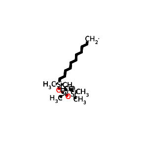 [CH2]CCCCCCCCCC[Si](C)(C)O[Si](C)(C)O[Si](C)(C)C